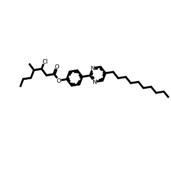 CCCCCCCCCCc1cnc(-c2ccc(OC(=O)CC(Cl)C(C)CCC)cc2)nc1